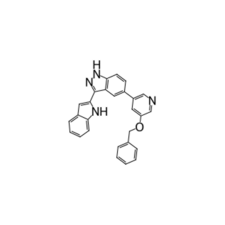 c1ccc(COc2cncc(-c3ccc4[nH]nc(-c5cc6ccccc6[nH]5)c4c3)c2)cc1